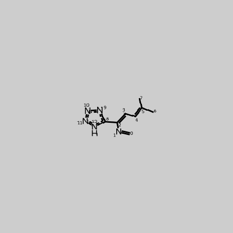 C=N/C(=C\C=C(C)C)c1nnn[nH]1